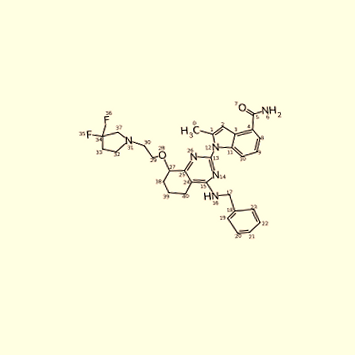 Cc1cc2c(C(N)=O)cccc2n1-c1nc(NCc2ccccc2)c2c(n1)C(OCCN1CCC(F)(F)C1)CCC2